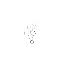 Cc1ccccc1S(=O)(=O)CC(=N)C(=O)c1nc(-c2c(F)cccc2F)c(C)n1C